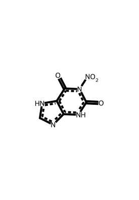 O=c1[nH]c2nc[nH]c2c(=O)n1[N+](=O)[O-]